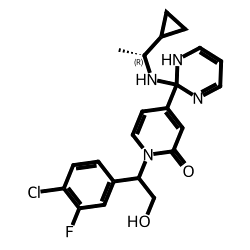 C[C@@H](NC1(c2ccn(C(CO)c3ccc(Cl)c(F)c3)c(=O)c2)N=CC=CN1)C1CC1